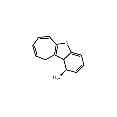 C[C@@H]1C=CC=C2SC3=C(CC=CC=C3)C21